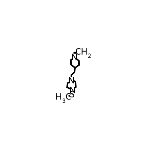 C=CN1CCC(CCN2CCN(SC)CC2)CC1